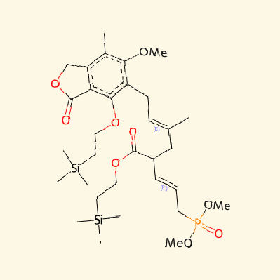 COc1c(C)c2c(c(OCC[Si](C)(C)C)c1C/C=C(\C)CC(/C=C/CP(=O)(OC)OC)C(=O)OCC[Si](C)(C)C)C(=O)OC2